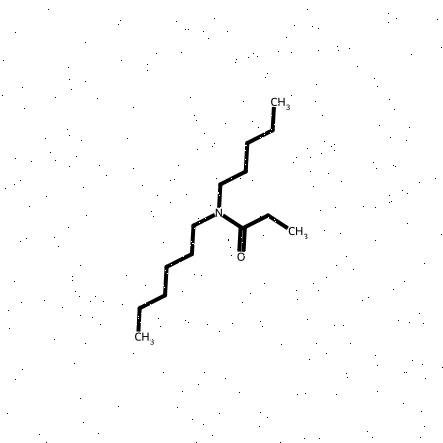 CCCCCCN(CCCCC)C(=O)CC